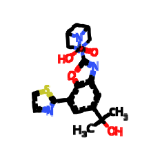 CC(C)(O)c1cc(-c2nccs2)c2oc(N3CC4CC(C3)N4C(=O)O)nc2c1